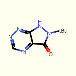 CC(C)(C)n1[nH]c2nncnc2c1=O